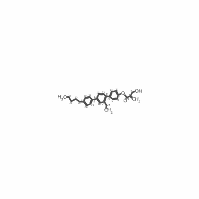 C=C(CO)C(=O)Oc1ccc(-c2ccc(-c3ccc(CCCCC)cc3)cc2CC)cc1